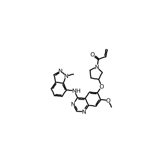 C=CC(=O)N1CCC(Oc2cc3c(Nc4cccc5cnn(C)c45)ncnc3cc2OC)C1